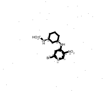 O=C(O)N[C@H]1CCC[C@@H](Nc2cc(Br)ncc2[N+](=O)[O-])C1